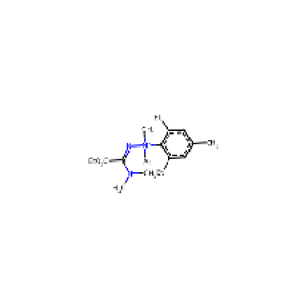 CCOC(=O)C(=N[N+](C)(C(C)=O)c1c(CC)cc(C)cc1CC)N(C)C